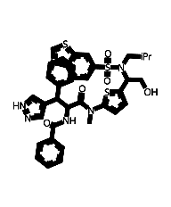 CC(C)CN(C(CO)c1ccc(N(C)C(=O)C(NC(=O)c2ccccc2)C(c2ccccc2)c2cn[nH]c2)s1)S(=O)(=O)c1ccc2ncsc2c1